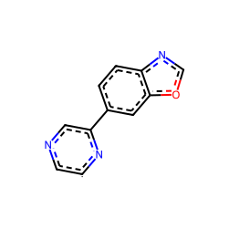 [c]1cncc(-c2ccc3ncoc3c2)n1